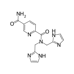 NC(=O)c1ccc(C(=O)N(Cc2ncc[nH]2)Cc2ncc[nH]2)nc1